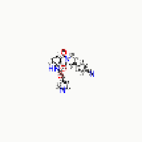 Cc1ccc(C(=O)N2CCC(c3ccc(C#N)cc3)CC2)cc1NC(=O)OCc1ccncc1